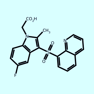 Cc1c(S(=O)(=O)c2cccc3cccnc23)c2cc(F)ccc2n1CC(=O)O